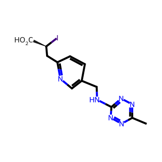 Cc1nnc(NCc2ccc(C[C@H](I)C(=O)O)nc2)nn1